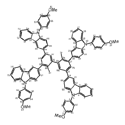 COc1ccc(-n2c3ccccc3c3cc(-c4cc(-c5ccc6c(c5)c5ccccc5n6-c5ccc(OC)cc5)c(C)c(-c5cc(-c6ccc7c(c6)c6ccccc6n7-c6ccc(OC)cc6)cc(-c6ccc7c(c6)c6ccccc6n7-c6ccc(OC)cc6)c5C)c4)ccc32)cc1